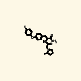 CC1CCCN1CC(=O)NC(Cc1ccc(Oc2ccc(F)cc2)cc1)C(N)=O